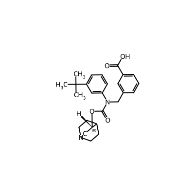 CC(C)(C)c1cccc(N(Cc2cccc(C(=O)O)c2)C(=O)O[C@H]2CN3CCC2CC3)c1